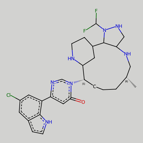 C[C@@H]1CCC[C@H](n2cnc(-c3cc(Cl)cc4cc[nH]c34)cc2=O)C2CC(CCN2)C2C(CNN2C(F)F)NC1